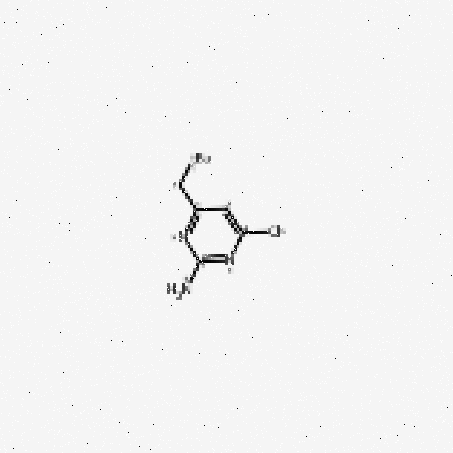 CC(C)(C)Cc1cc(Cl)nc(N)n1